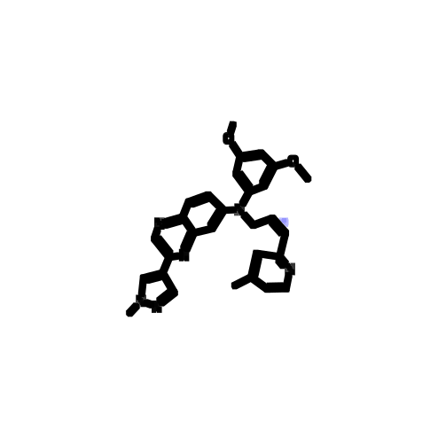 COc1cc(OC)cc(N(C/C=C\c2cc(C)ccn2)c2ccc3ncc(-c4cnn(C)c4)nc3c2)c1